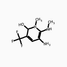 CNC1=C(N)C=C(C(F)(F)F)C(O)N1C